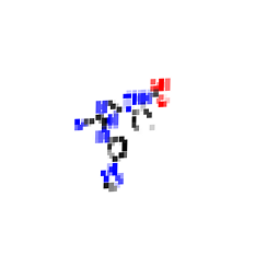 N#Cc1ncc(NC2CCCCC2NC(=O)O)nc1Nc1cccc(-n2nccn2)c1